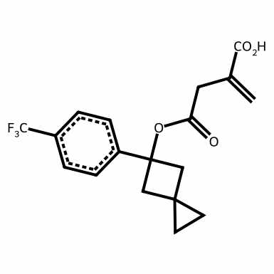 C=C(CC(=O)OC1(c2ccc(C(F)(F)F)cc2)CC2(CC2)C1)C(=O)O